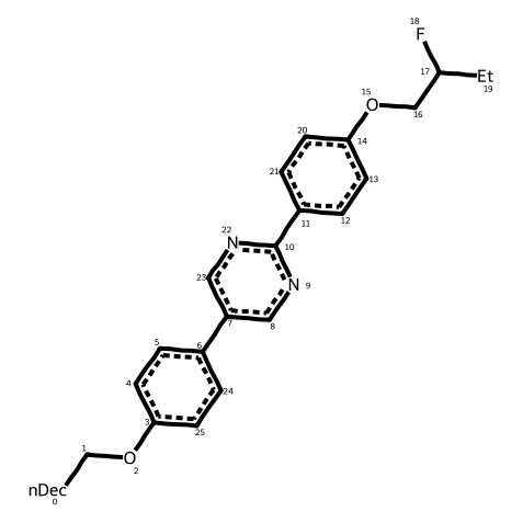 CCCCCCCCCCCOc1ccc(-c2cnc(-c3ccc(OCC(F)CC)cc3)nc2)cc1